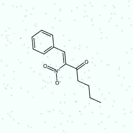 CCCCC(=O)C(=Cc1ccccc1)[N+](=O)[O-]